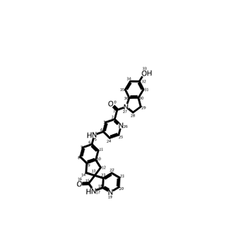 O=C(c1cc(Nc2ccc3c(c2)CC2(C3)C(=O)Nc3ncccc32)ccn1)N1CCc2cc(O)ccc21